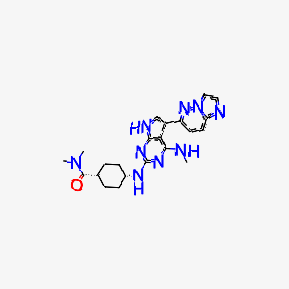 CNc1nc(N[C@H]2CC[C@@H](C(=O)N(C)C)CC2)nc2[nH]cc(-c3ccc4nccn4n3)c12